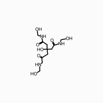 O=C(CNCO)CC(O)(CC(=O)NCO)CC(=O)NCO